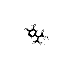 NC(=O)C(C(N)=O)c1ccc(Cl)c(Cl)c1